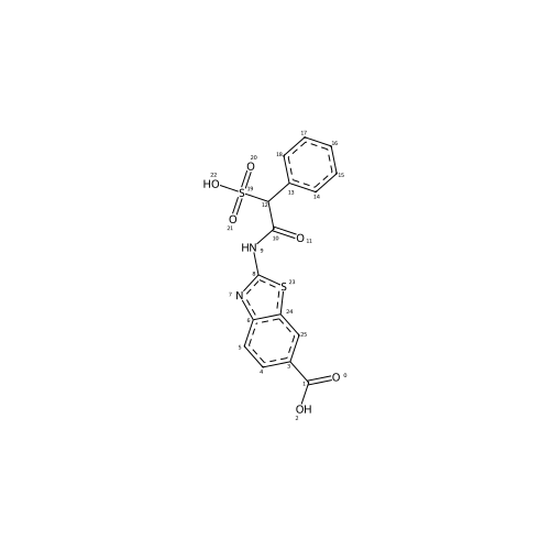 O=C(O)c1ccc2nc(NC(=O)C(c3ccccc3)S(=O)(=O)O)sc2c1